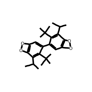 CC(C)c1c(C(C)(C)C)c(-c2cc3ooc3c(C(C)C)c2C(C)(C)C)cc2ooc12